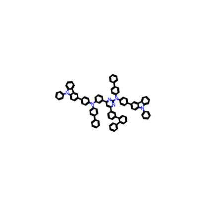 c1ccc(-c2ccc(N(c3ccc(-c4ccc5c(c4)c4ccccc4n5-c4ccccc4)cc3)c3cccc(-c4cc(-c5cccc(-c6ccccc6-c6ccccc6)c5)nc(N(c5ccc(-c6ccccc6)cc5)c5ccc(-c6ccc7c(c6)c6ccccc6n7-c6ccccc6)cc5)n4)c3)cc2)cc1